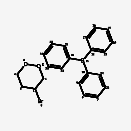 BrC1CCOOC1.c1ccc(B(c2ccccc2)c2ccccc2)cc1